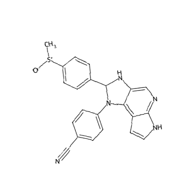 C[S+]([O-])c1ccc(C2Nc3cnc4[nH]ccc4c3N2c2ccc(C#N)cc2)cc1